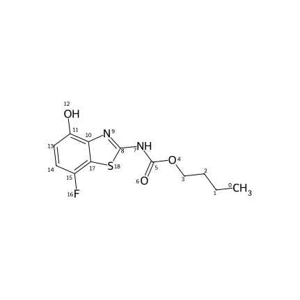 CCCCOC(=O)Nc1nc2c(O)ccc(F)c2s1